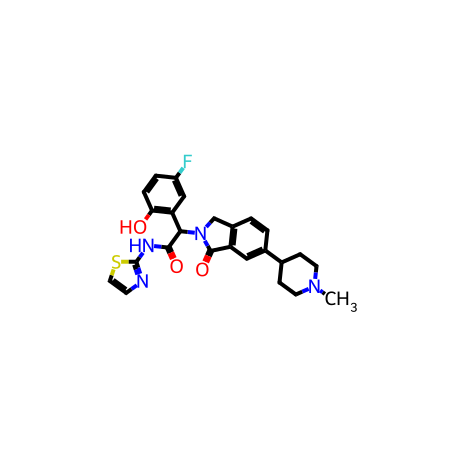 CN1CCC(c2ccc3c(c2)C(=O)N(C(C(=O)Nc2nccs2)c2cc(F)ccc2O)C3)CC1